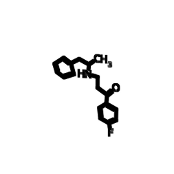 CC(Cc1ccccc1)NCCC(=O)c1ccc(F)cc1